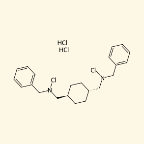 Cl.Cl.ClN(Cc1ccccc1)C[C@H]1CC[C@H](CN(Cl)Cc2ccccc2)CC1